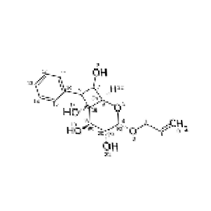 C=CCO[C@H]1O[C@@H]2C(O)C(c3ccccc3)[C@]2(O)[C@H](O)[C@H]1O